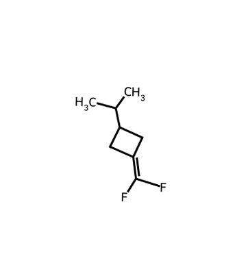 CC(C)C1CC(=C(F)F)C1